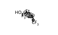 CCO[C@H](C(=O)O)C(CC)c1ccc(OCC(=O)N(Cc2ccc(C(F)(F)F)cc2)Cc2ccc(C(F)(F)F)cc2)cc1